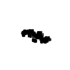 CC[C@@]1(O)C(=O)OCc2c1cc1n(c2=O)Cc2c-1nc1cc(F)c(OC)cc1c2CN1CC[N+](C)(Cc2ccc(NC(=O)C(C)NC(=O)CCCN3C(=O)C=CC3=O)cc2)CC1.O=C[O-]